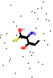 C/C=C(O)\C(N)=C(\O)S